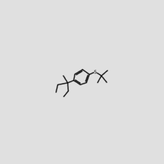 CCC(C)(CC)c1ccc(SC(C)(C)C)cc1